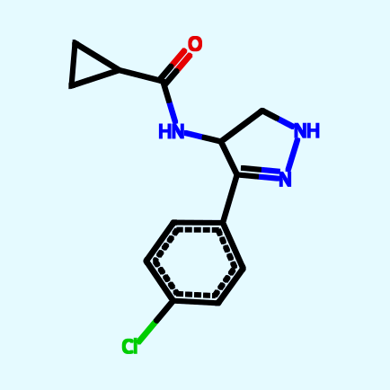 O=C(NC1CNN=C1c1ccc(Cl)cc1)C1CC1